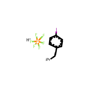 CC(C)Cc1ccc(I)cc1.F[P-](F)(F)(F)(F)F.[H+]